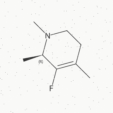 CC1=C(F)[C@@H](C)N(C)CC1